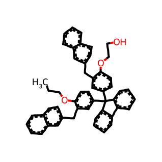 CCCOc1ccc(C2(c3ccc(OCCO)c(Cc4ccc5ccccc5c4)c3)c3ccccc3-c3ccccc32)cc1Cc1ccc2ccccc2c1